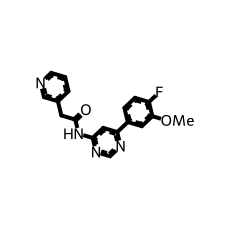 COc1cc(-c2cc(NC(=O)Cc3cccnc3)ncn2)ccc1F